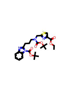 CCOC(=O)c1csc(CN(CCCc2nc3ccccc3n2C(=O)OC(C)(C)C)C(=O)OC(C)(C)C)n1